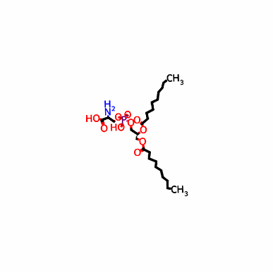 CCCCCCCCCC(=O)OC[C@H](COP(=O)(O)OC[C@H](N)C(=O)O)OC(=O)CCCCCCCCC